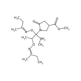 CCC(C)=NOC(C)C(ON=C(C)CC)([SiH2]C)N1CC(C(=O)OC)CC1=O